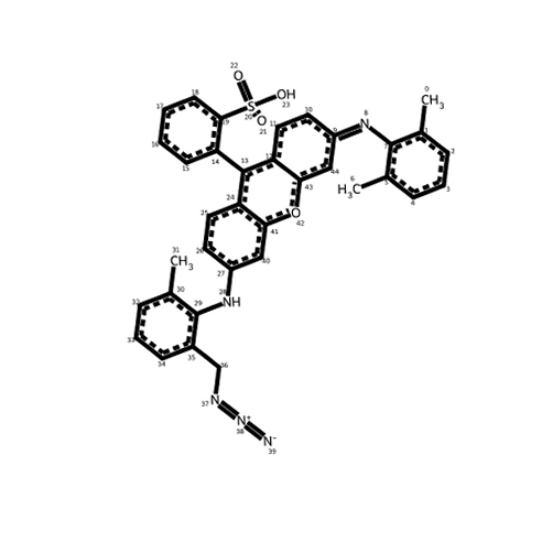 Cc1cccc(C)c1/N=c1/ccc2c(-c3ccccc3S(=O)(=O)O)c3ccc(Nc4c(C)cccc4CN=[N+]=[N-])cc3oc-2c1